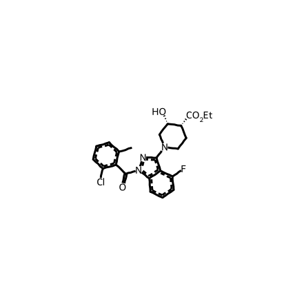 CCOC(=O)[C@@H]1CCN(c2nn(C(=O)c3c(C)cccc3Cl)c3cccc(F)c23)C[C@@H]1O